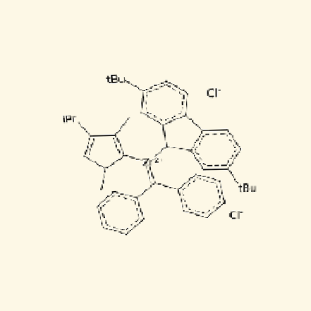 CC1=[C]([Zr+2](=[C](c2ccccc2)c2ccccc2)[CH]2c3cc(C(C)(C)C)ccc3-c3ccc(C(C)(C)C)cc32)C(C)C=C1C(C)C.[Cl-].[Cl-]